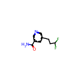 NC(=O)c1cncc(CCC(F)F)c1